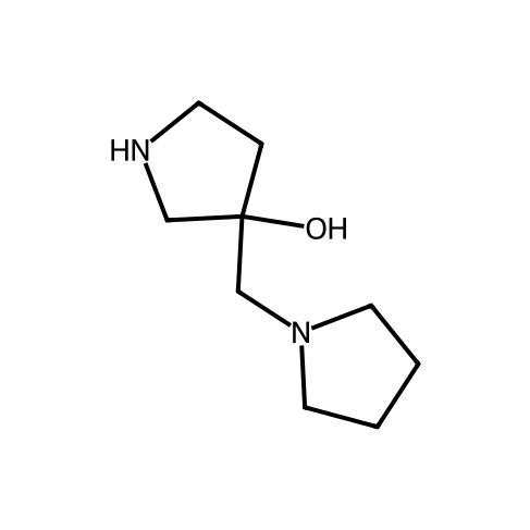 OC1(CN2CCCC2)CCNC1